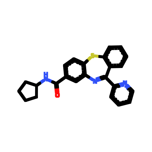 O=C(NC1CCCC1)c1ccc2c(c1)N=C(c1ccccn1)c1ccccc1S2